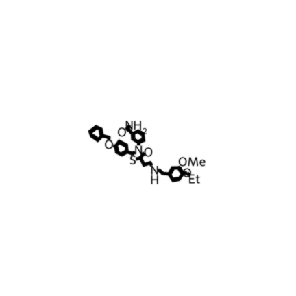 CCOc1ccc(CCNCCC2SC(c3ccc(OCc4ccccc4)cc3)N(c3cccc(C(N)=O)c3)C2=O)cc1OC